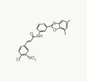 Cc1cc(C)c2oc(-c3cccc(NC(=O)C=Cc4ccc(Cl)c([N+](=O)[O-])c4)c3)nc2c1